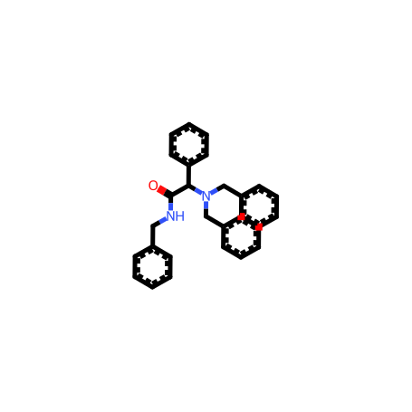 O=C(NCc1ccccc1)C(c1ccccc1)N(Cc1ccccc1)Cc1ccccc1